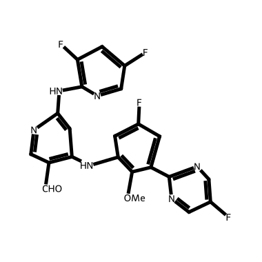 COc1c(Nc2cc(Nc3ncc(F)cc3F)ncc2C=O)cc(F)cc1-c1ncc(F)cn1